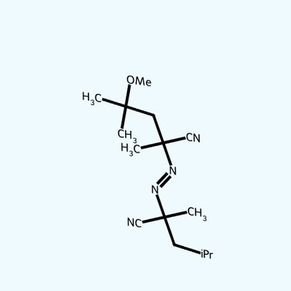 COC(C)(C)CC(C)(C#N)/N=N/C(C)(C#N)CC(C)C